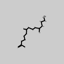 C=C(C)CCCCC(C)CCCC(C)CCCC(C)C